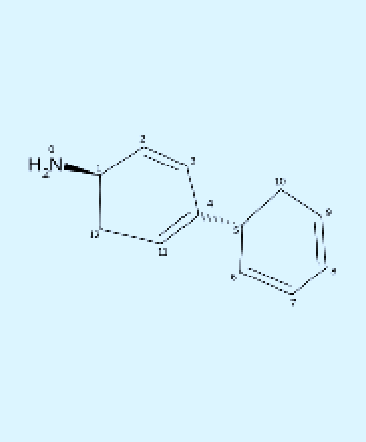 N[C@H]1C=CC([C@H]2C=CC=CC2)=CC1